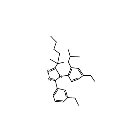 CCCCC(C)(C)c1nnc(-c2cccc(CC)c2)n1-c1ccc(CC)cc1CC(C)C